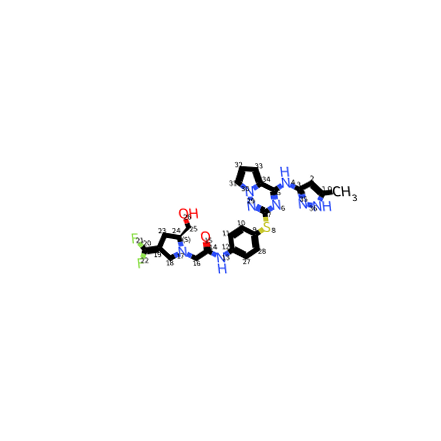 Cc1cc(Nc2nc(Sc3ccc(NC(=O)CN4CC(=C(F)F)C[C@H]4CO)cc3)nn3cccc23)n[nH]1